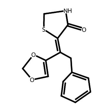 O=C1NCSC1=C(Cc1ccccc1)C1=COCO1